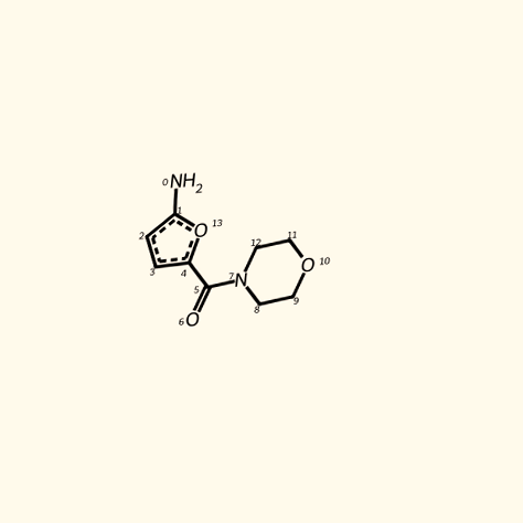 Nc1ccc(C(=O)N2CCOCC2)o1